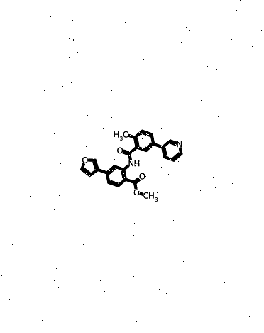 COC(=O)c1ccc(-c2ccoc2)cc1NC(=O)c1cc(-c2cccnc2)ccc1C